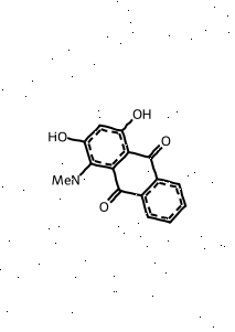 CNc1c(O)cc(O)c2c1C(=O)c1ccccc1C2=O